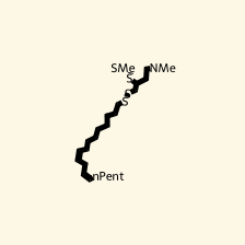 CCCCC/C=C\C/C=C\CCCCCCCCSSCC(CCNC)SSC